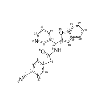 N#Cc1ccc(CC(=O)NC(c2cccnc2)c2cc3ccccc3o2)cn1